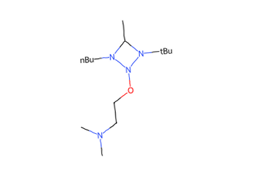 CCCCN1C(C)N(C(C)(C)C)N1OCCN(C)C